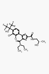 CCN(CC)C(=O)c1nc(C(=O)NC[C@H](C)O)sc1-c1ccc(C(O)(C(F)(F)F)C(F)(F)F)c(Cl)c1Cl